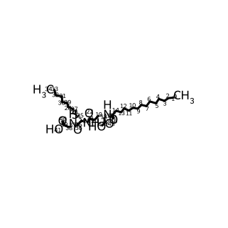 CCCCCCCCCCCCCCCC(=O)N[C@@H](CCC(=O)N[C@@H](CSCCCCCCCC)C(=O)NCC(=O)O)C(=O)O